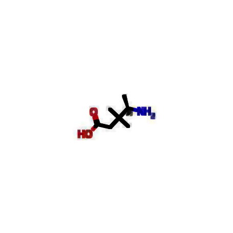 C[C@@H](N)C(C)(C)CC(=O)O